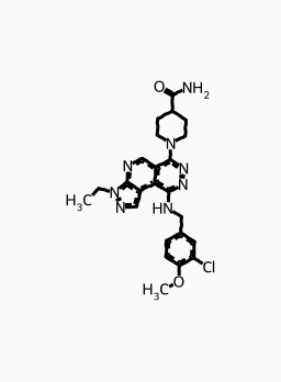 CCn1ncc2c3c(NCc4ccc(OC)c(Cl)c4)nnc(N4CCC(C(N)=O)CC4)c3cnc21